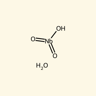 O.[O]=[Nb](=[O])[OH]